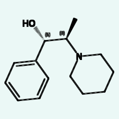 C[C@H]([C@@H](O)c1ccccc1)N1CCCCC1